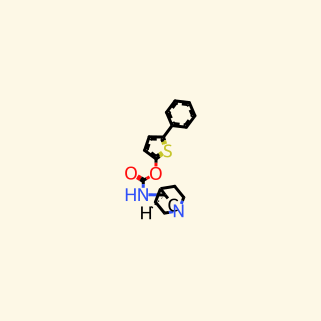 O=C(N[C@@H]1CN2CCC1CC2)Oc1ccc(-c2ccccc2)s1